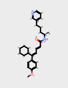 COc1ccc(/C(=C/C=C/C(=O)N[C@H](C)CCCc2cccnc2)C2CCCCC2)cc1